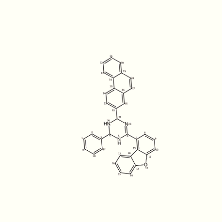 c1ccc(C2NC(c3cccc4oc5ccccc5c34)=NC(c3ccc4c(ccc5ccccc54)c3)N2)cc1